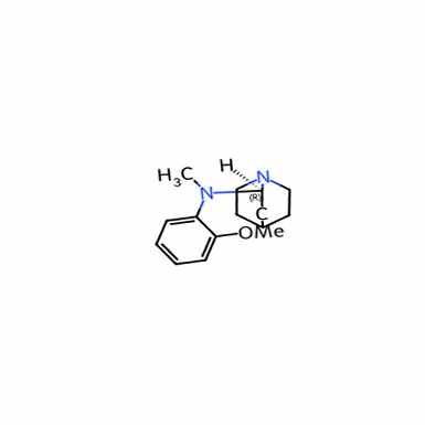 COc1ccccc1N(C)[C@@H]1CC2CCN1CC2